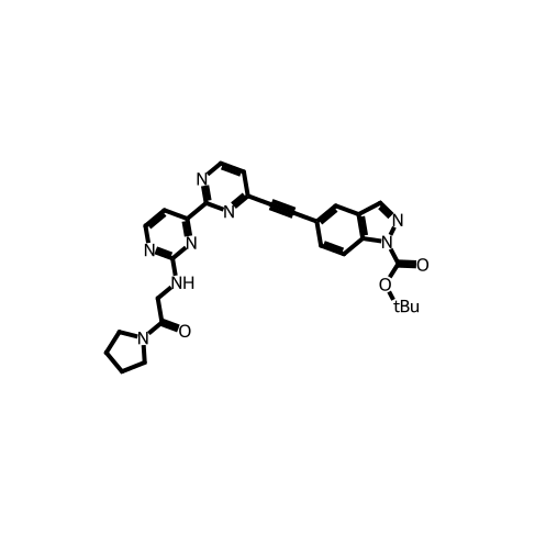 CC(C)(C)OC(=O)n1ncc2cc(C#Cc3ccnc(-c4ccnc(NCC(=O)N5CCCC5)n4)n3)ccc21